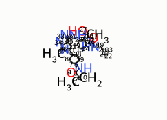 C=C(C)C(=O)Nc1ccc(-c2c(-c3ccc(C(=O)NCC4CCC4)c(C(C)O)c3)c3c(N)ncnc3n2C)cc1